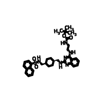 CC(C)(C)OC(=O)NCCNc1nc(NC[C@H]2CC[C@H](CNS(=O)(=O)c3cccc4ccccc34)CC2)nc2ccccc12